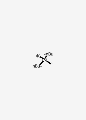 CCCC[Si](C)([K])CCCC